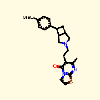 COc1ccc(C2CC3CN(CCc4c(C)nc5sccn5c4=O)CC32)cc1